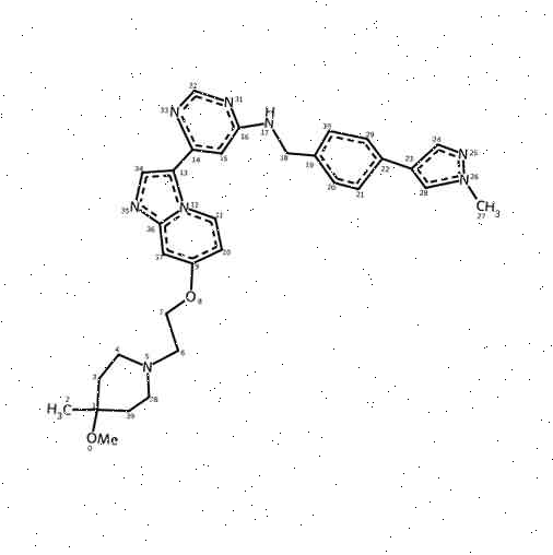 COC1(C)CCN(CCOc2ccn3c(-c4cc(NCc5ccc(-c6cnn(C)c6)cc5)ncn4)cnc3c2)CC1